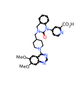 COc1cc2ncnc(N3CCC(CN4Cc5ccccc5N(c5ccnc(C(=O)O)c5)C4=O)CC3)c2cc1OC